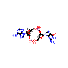 Nc1nc2c(ncn2[C@@H]2O[C@@H]3COP(=O)(O)O[C@@H]4[C@H](F)[C@@H](COP(=O)(O)O[C@@H]2C3)O[C@H]4n2cnc3c(N)ncnc32)c(=O)[nH]1